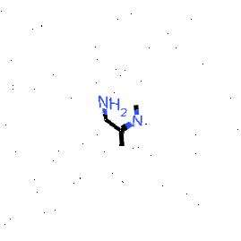 C/N=C(/C)CN